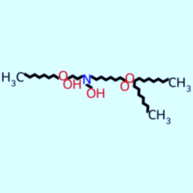 CCCCCCCCCOC(O)CCCN(CCO)CCCCCCCC(=O)OC(CCCCCCCC)CCCCCCCC